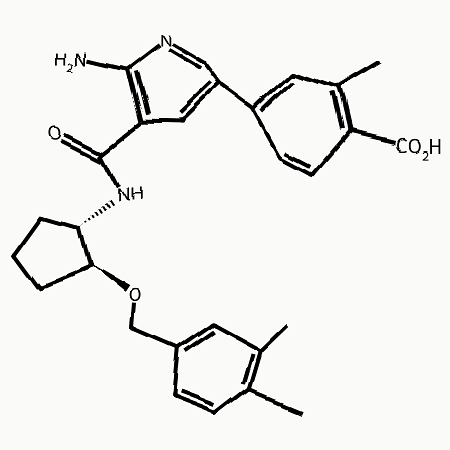 Cc1ccc(CO[C@H]2CCC[C@@H]2NC(=O)c2cc(-c3ccc(C(=O)O)c(C)c3)cnc2N)cc1C